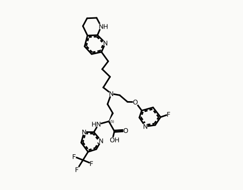 O=C(O)[C@H](CCN(CCCCc1ccc2c(n1)NCCC2)CCOc1cncc(F)c1)Nc1ncc(C(F)(F)F)cn1